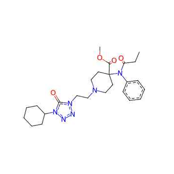 CCC(=O)N(c1ccccc1)C1(C(=O)OC)CCN(CCn2nnn(C3CCCCC3)c2=O)CC1